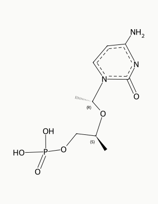 C[C@@H](COP(=O)(O)O)O[C@H](C)n1ccc(N)nc1=O